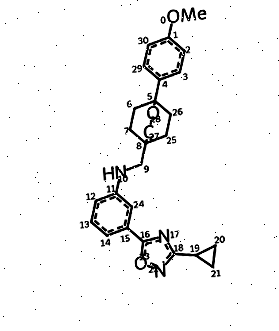 COc1ccc(C23CCC(CNc4cccc(-c5nc(C6CC6)no5)c4)(CC2)CO3)cc1